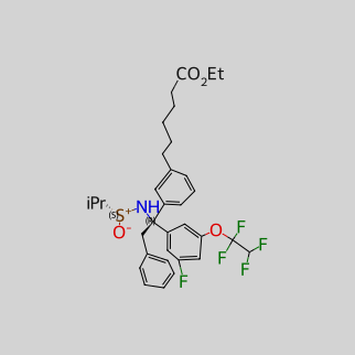 CCOC(=O)CCCCCc1cccc([C@@](Cc2ccccc2)(N[S@+]([O-])C(C)C)c2cc(F)cc(OC(F)(F)C(F)F)c2)c1